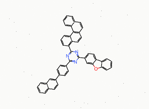 c1ccc2cc(-c3ccc(-c4nc(-c5ccc6c(c5)oc5ccccc56)nc(-c5cccc6c5ccc5ccc7ccccc7c56)n4)cc3)ccc2c1